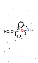 C=CC(=O)N(Cc1ccccc1)C(C)C.CC/C=C(\C)C(=O)O